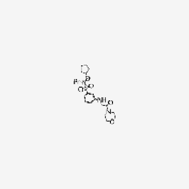 CC(C)N(OC1CCCC1)S(=O)(=O)c1cccc(NCC(=O)N2CCOCC2)c1